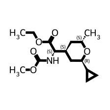 CCOC(=O)[C@@H](NC(=O)OC)[C@H]1C[C@H](C)O[C@@H](C2CC2)C1